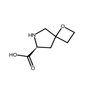 O=C(O)[C@@H]1CC2(CCO2)CN1